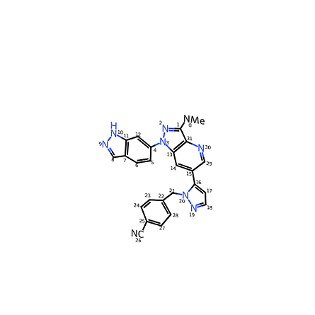 CNc1nn(-c2ccc3cn[nH]c3c2)c2cc(-c3ccnn3Cc3ccc(C#N)cc3)cnc12